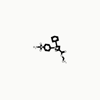 CCOC(=O)c1cc(-c2ccccc2)n(-c2ccc(S(N)(=O)=O)cc2)n1